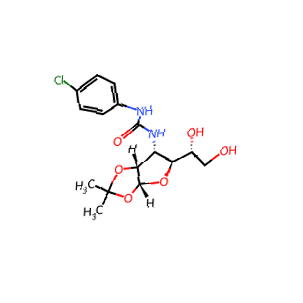 CC1(C)O[C@H]2O[C@H]([C@H](O)CO)[C@@H](NC(=O)Nc3ccc(Cl)cc3)[C@H]2O1